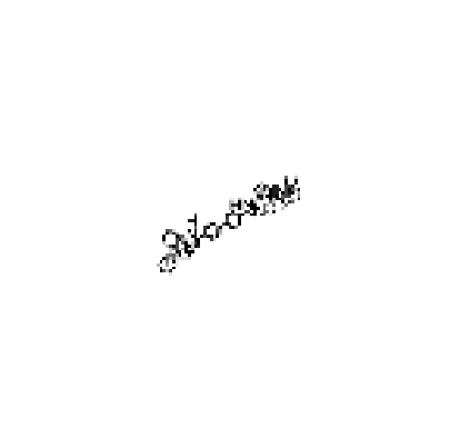 COC(=O)N[C@H](C(=O)N1CCC[C@H]1c1ncc(-c2ccc(-c3ccc(-c4cnc([C@H]5CCCC[C@H]5C(=O)N5CCCCC5)[nH]4)cc3)cc2)[nH]1)C(C)C